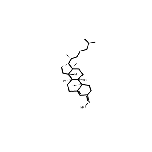 CC(C)CCC[C@@H](C)[C@H]1CC[C@H]2[C@@H]3CCC4=CC(=NO)CC[C@]4(C)[C@H]3CC[C@]12C